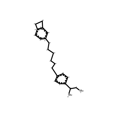 CC(C)(C)CC(c1ccc(CCCCCCc2ccc3c(c2)CC3)cc1)C(C)(C)C